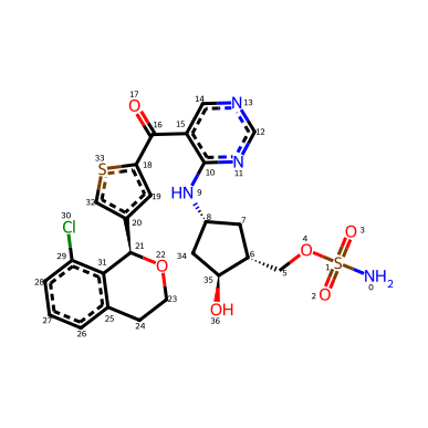 NS(=O)(=O)OC[C@H]1C[C@@H](Nc2ncncc2C(=O)c2cc([C@H]3OCCc4cccc(Cl)c43)cs2)C[C@@H]1O